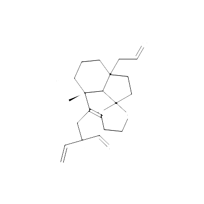 C=C[C@](C)(C=O)CC(=O)[C@@]1(C)C2C(CC=O)(CC[C@H]1C)CCC21OCCO1